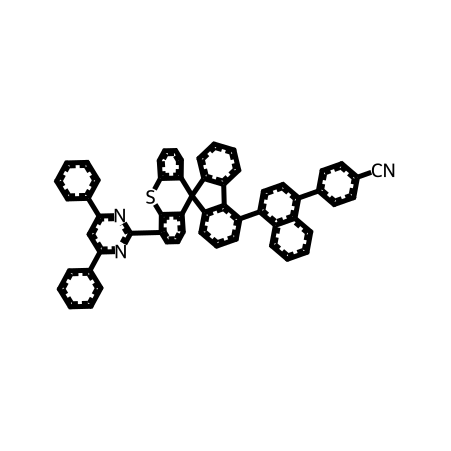 N#Cc1ccc(-c2ccc(-c3cccc4c3-c3ccccc3C43c4ccccc4Sc4c(-c5nc(-c6ccccc6)cc(-c6ccccc6)n5)cccc43)c3ccccc23)cc1